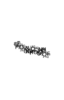 Cc1ccc(S(=O)(=O)NC(Cc2ccc(-c3noc(-c4ccc(C(F)(F)F)cc4)n3)c(F)c2)C(=O)O)cc1F